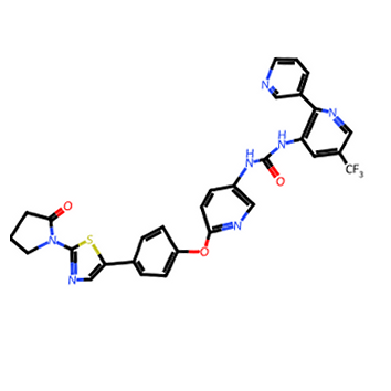 O=C(Nc1ccc(Oc2ccc(-c3cnc(N4CCCC4=O)s3)cc2)nc1)Nc1cc(C(F)(F)F)cnc1-c1cccnc1